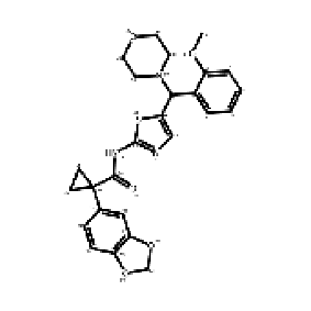 COc1ccccc1C(c1cnc(NC(=O)C2(c3ccc4c(c3)OCO4)CC2)s1)N1CCOCC1